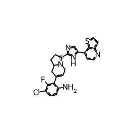 Nc1ccc(Cl)c(F)c1C1=CCN2C(CC[C@H]2c2ncc(-c3ccnc4ccsc34)[nH]2)C1